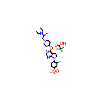 CCN(CC)C(=O)CN1CCC(Oc2ncnc3c2CCN3c2ccc(S(C)(=O)=O)cc2F)CC1.O=C(O)C(F)(F)F